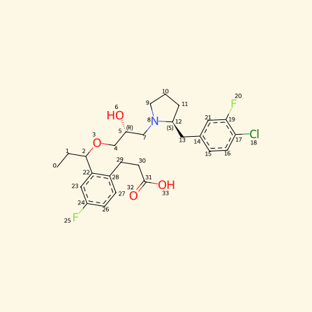 CCC(OC[C@H](O)CN1CCC[C@H]1Cc1ccc(Cl)c(F)c1)c1cc(F)ccc1CCC(=O)O